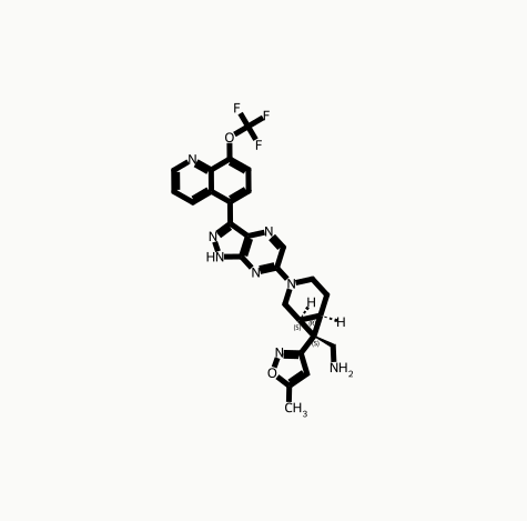 Cc1cc([C@@]2(CN)[C@@H]3CCN(c4cnc5c(-c6ccc(OC(F)(F)F)c7ncccc67)n[nH]c5n4)C[C@@H]32)no1